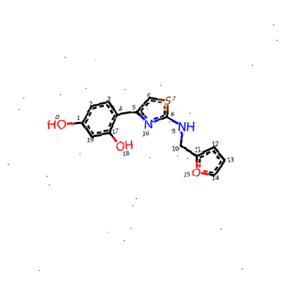 Oc1ccc(-c2csc(NCc3ccco3)n2)c(O)c1